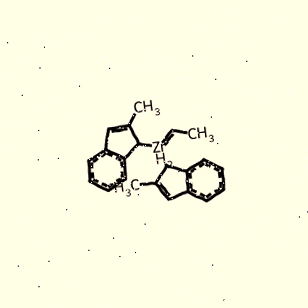 C[CH]=[ZrH2]([CH]1C(C)=Cc2ccccc21)[CH]1C(C)=Cc2ccccc21